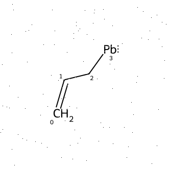 C=C[CH2][Pb]